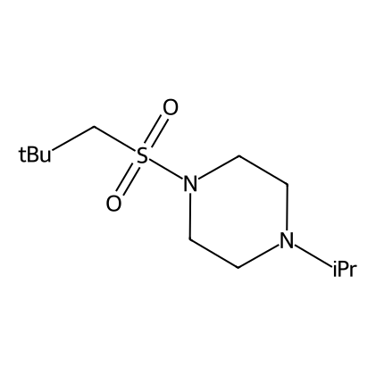 CC(C)N1CCN(S(=O)(=O)CC(C)(C)C)CC1